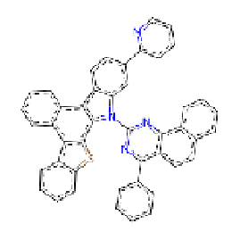 c1ccc(-c2nc(-n3c4cc(-c5ccccn5)ccc4c4c5ccccc5c5c6ccccc6sc5c43)nc3c2ccc2ccccc23)cc1